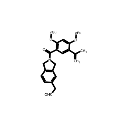 C=C(C)c1cc(C(=O)N2Cc3ccc(CC=O)cc3C2)c(OCCCC)cc1OCCCC